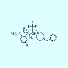 COc1ccc(F)cc1C(C)(C)CC(O)(CN1CCCN(Cc2ccccc2)CC1)C(F)(F)F